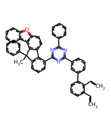 C=Cc1cccc(-c2cccc(-c3nc(-c4ccccc4)nc(-c4cccc5c4-c4ccc6oc7ccccc7c6c4C5(C)c4ccccc4)n3)c2)c1C=C